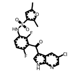 Cc1cc(S(=O)(=O)Nc2ccc(F)c(C(=O)c3c[nH]c4ncc(Cl)cc34)c2F)c(C)o1